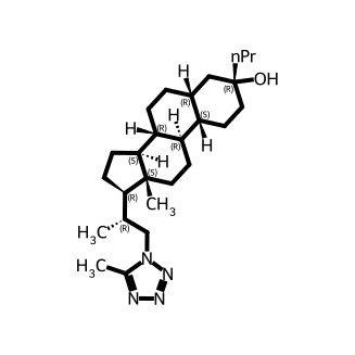 CCC[C@@]1(O)CC[C@H]2[C@H](CC[C@@H]3[C@@H]2CC[C@]2(C)[C@@H]([C@@H](C)Cn4nnnc4C)CC[C@@H]32)C1